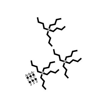 CCCC[N+](CCCC)(CCCC)CCCC.CCCC[N+](CCCC)(CCCC)CCCC.CCCC[N+](CCCC)(CCCC)CCCC.[N-]=C=S.[N-]=C=S.[N-]=C=S